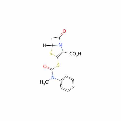 CN(C(=O)SC1=C(C(=O)O)N2C(=O)C[C@H]2S1)c1ccccc1